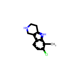 Cc1c(Cl)ccc2c3c([nH]c12)CCNC3